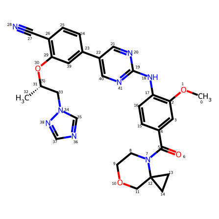 COc1cc(C(=O)N2CCOCC23CC3)ccc1Nc1ncc(-c2ccc(C#N)c(O[C@@H](C)Cn3cncn3)c2)cn1